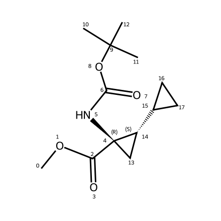 COC(=O)[C@@]1(NC(=O)OC(C)(C)C)C[C@H]1C1CC1